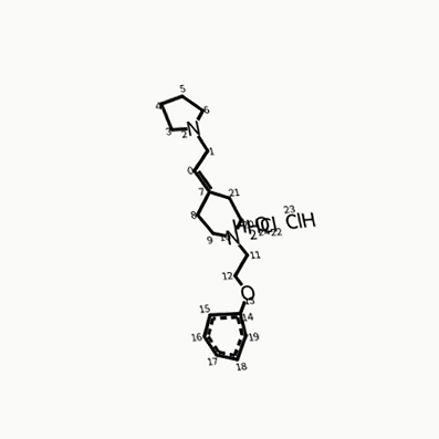 C(CN1CCCC1)=C1CCN(CCOc2ccccc2)CC1.Cl.Cl.O